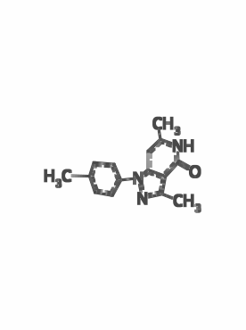 Cc1ccc(-n2nc(C)c3c(=O)[nH]c(C)cc32)cc1